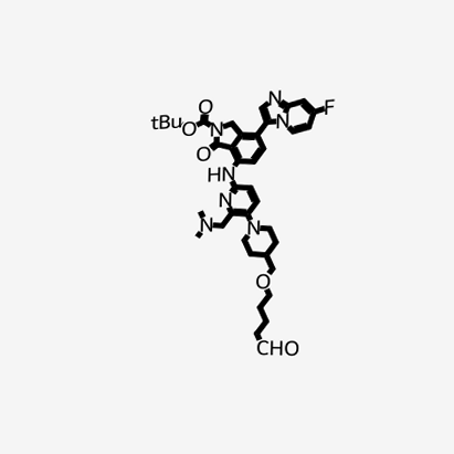 CN(C)Cc1nc(Nc2ccc(-c3cnc4cc(F)ccn34)c3c2C(=O)N(C(=O)OC(C)(C)C)C3)ccc1N1CCC(COCCCCC=O)CC1